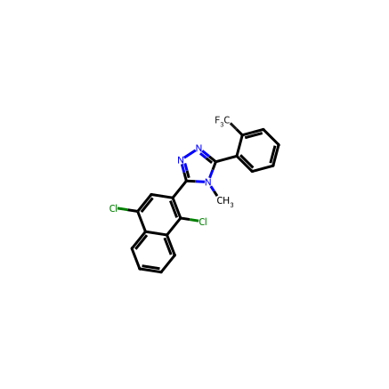 Cn1c(-c2ccccc2C(F)(F)F)nnc1-c1cc(Cl)c2ccccc2c1Cl